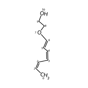 C\C=C/C=C\C=C\OCCO